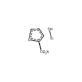 CCO.O=C(O)c1ccco1